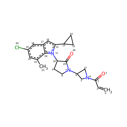 C=CC(=O)N1CC(N2CCC(n3c(C4CC4)cc4cc(Cl)cc(C)c43)C2=O)C1